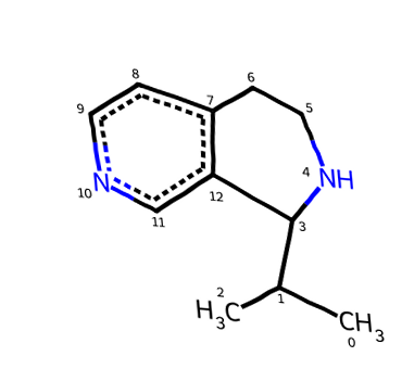 CC(C)C1NCCc2ccncc21